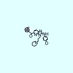 COc1ccc(Nc2nc3ccc(C(=O)N4CC5CCC(CC5)C4)nc3n2CCCN2CCCCC2)cc1